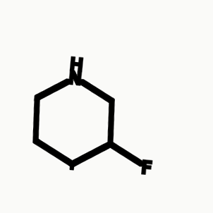 FC1[CH]CCNC1